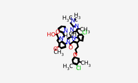 COc1ccc(N2C[C@@H](C)n3c(c(CCCOc4cc(C)c(Cl)c(C)c4)c4ccc(Cl)c(-c5c(C)nc(CN(C)C)nc5C)c43)C2=O)c2c1cc(C(=O)O)n2Cc1ccccn1